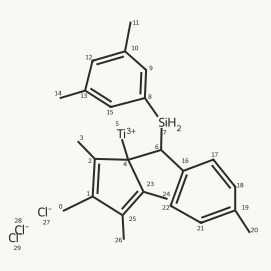 CC1=C(C)[C]([Ti+3])(C([SiH2]c2cc(C)cc(C)c2)c2ccc(C)cc2)C(C)=C1C.[Cl-].[Cl-].[Cl-]